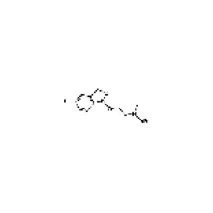 CCCN(C)CCOB1OCc2cc(F)ccc21